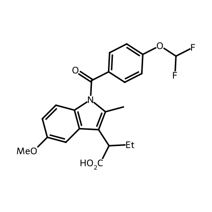 CCC(C(=O)O)c1c(C)n(C(=O)c2ccc(OC(F)F)cc2)c2ccc(OC)cc12